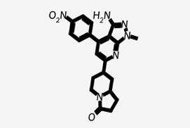 Cn1nc(N)c2c(-c3ccc([N+](=O)[O-])cc3)cc(C3CCN4C(=O)CCC4C3)nc21